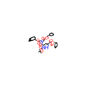 CC(C)(C)OC(=O)NC(CCC(=O)OCc1ccccc1)C(=O)N(CC(=O)OCc1ccccc1)CC(=O)OCc1ccccc1